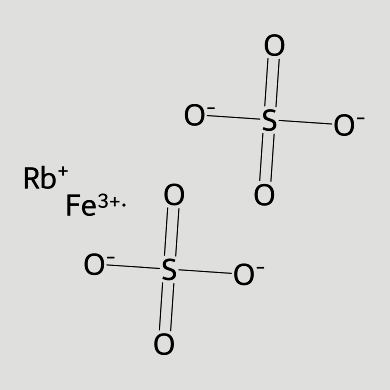 O=S(=O)([O-])[O-].O=S(=O)([O-])[O-].[Fe+3].[Rb+]